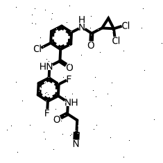 N#CCC(=O)Nc1c(F)ccc(NC(=O)c2cc(NC(=O)C3CC3(Cl)Cl)ccc2Cl)c1F